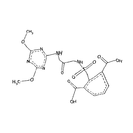 COc1nc(NC(=O)NS(=O)(=O)c2c(C(=O)O)cccc2C(=O)O)nc(OC)n1